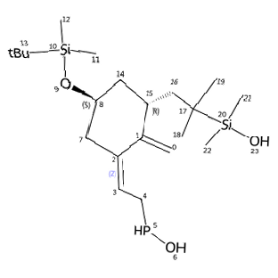 C=C1/C(=C\CPO)C[C@@H](O[Si](C)(C)C(C)(C)C)C[C@@H]1CC(C)(C)[Si](C)(C)O